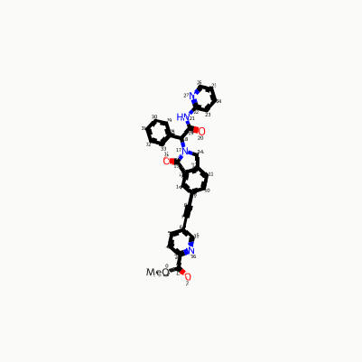 COC(=O)c1ccc(C#Cc2ccc3c(c2)C(=O)N(C(C(=O)Nc2ccccn2)c2ccccc2)C3)cn1